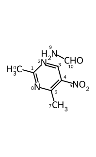 Cc1ncc([N+](=O)[O-])c(C)n1.NC=O